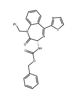 CC(C)CN1C(=O)[C@@H](NC(=O)OCc2ccccc2)N=C(c2nccs2)c2ccccc21